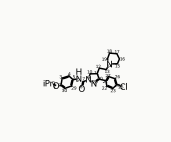 CC(C)Oc1ccc(NC(=O)N2CC(CCN3CCCCC3)C(c3ccc(Cl)cc3)=N2)cc1